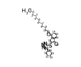 CCCCCCCCCCCCOc1cccc2c1CC(Sc1nnnn1-c1ccccc1)C2=O